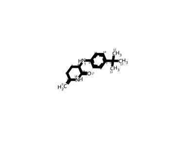 C=C1CCC(Nc2ccc(C(C)(C)C)cc2)C(=O)N1